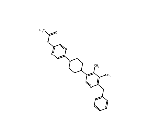 CC(=O)Oc1cnc(N2CCC(c3nnc(Cc4ccccc4)c(C)c3C)CC2)cn1